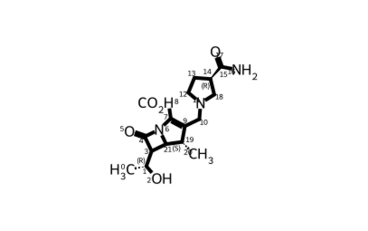 C[C@@H](O)C1C(=O)N2C(C(=O)O)=C(CN3CC[C@@H](C(N)=O)C3)[C@H](C)C12